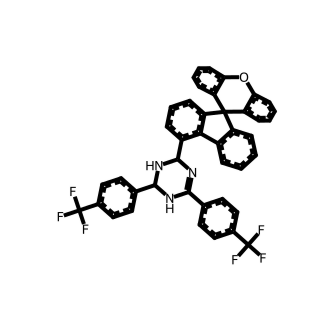 FC(F)(F)c1ccc(C2=NC(c3cccc4c3-c3ccccc3C43c4ccccc4Oc4ccccc43)NC(c3ccc(C(F)(F)F)cc3)N2)cc1